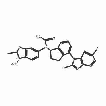 CCc1nc2ccc(F)cc2n1-c1cccc2c1CCC2N(C(=O)C(F)(F)F)c1ccc2c(c1)OC(C)[C@H]2OC(C)=O